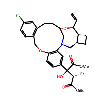 C=C[C@H](O)[C@@H]1CC[C@H]1CN1CCCCc2cc(Cl)ccc2COc2ccc(C(O)(C(=O)OC)[C@H](CC)C(=O)OCC(C)C)cc21